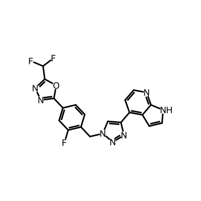 Fc1cc(-c2nnc(C(F)F)o2)ccc1Cn1cc(-c2ccnc3[nH]ccc23)nn1